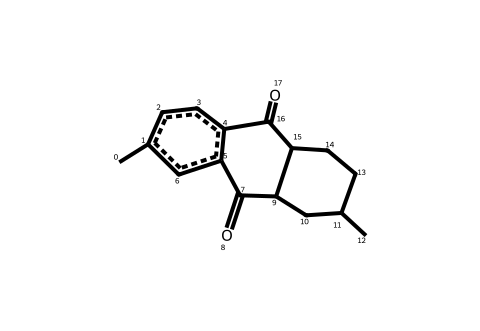 Cc1ccc2c(c1)C(=O)C1CC(C)CCC1C2=O